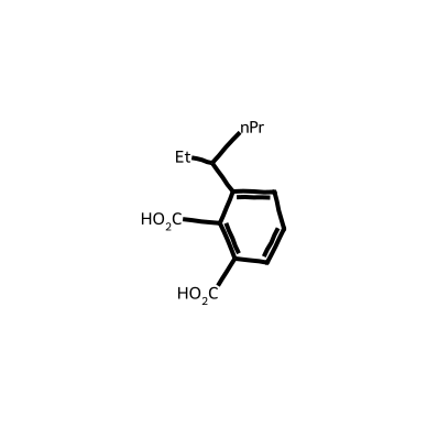 CCCC(CC)c1cccc(C(=O)O)c1C(=O)O